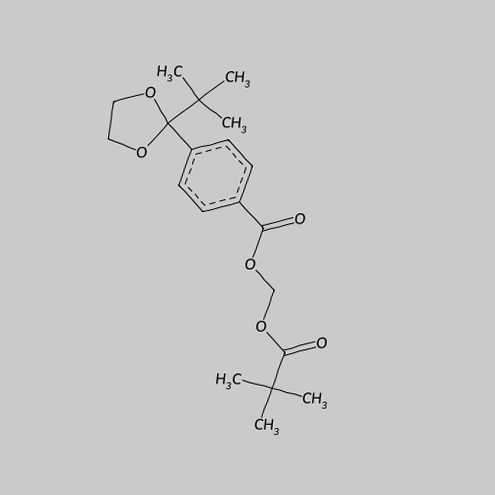 CC(C)(C)C(=O)OCOC(=O)c1ccc(C2(C(C)(C)C)OCCO2)cc1